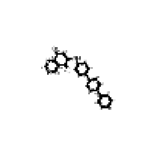 O=C1C(Nc2ccc(-c3ccc(-c4ccccc4)cc3)cc2)=CC(=O)c2ncncc21